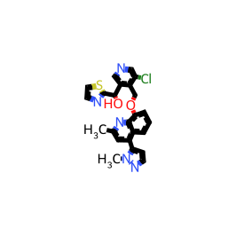 Cc1cc(-c2ccnn2C)c2cccc(OCc3c(Cl)cncc3C(O)c3nccs3)c2n1